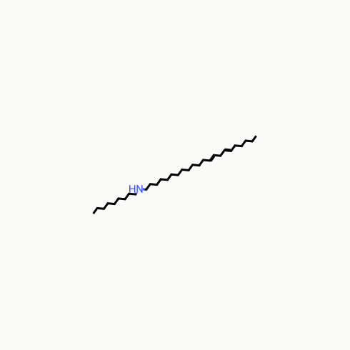 CCCCCC=CCC=CCCCCCCCCCCCCNCCCCCCCCC